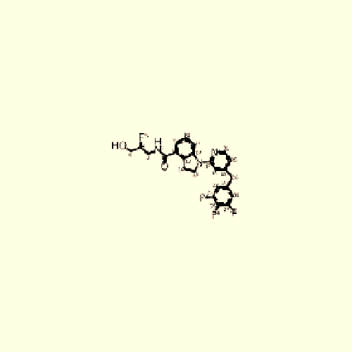 O=C(NCC(F)CO)c1cccc2c1CCN2c1cc(Cc2cc(F)c(F)c(F)c2)ccn1